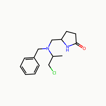 CC(CCl)N(Cc1ccccc1)CC1CCC(=O)N1